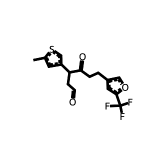 Cc1cc(C(CC=O)C(=O)CCc2coc(C(F)(F)F)c2)cs1